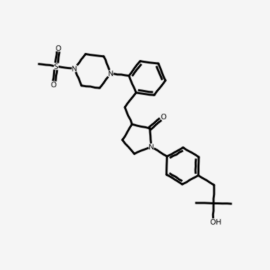 CC(C)(O)Cc1ccc(N2CCC(Cc3ccccc3N3CCN(S(C)(=O)=O)CC3)C2=O)cc1